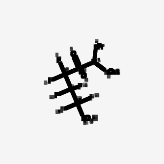 CCCCCCCCN(CCC)S(=O)(=O)C(F)(F)C(F)(F)C(F)(F)S(=O)(=O)O